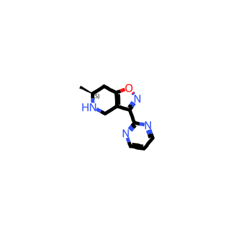 C[C@H]1Cc2onc(-c3ncccn3)c2CN1